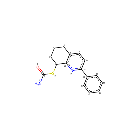 NC(=O)SC1CCCc2ccc(-c3ccccc3)nc21